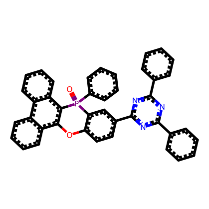 O=P1(c2ccccc2)c2cc(-c3nc(-c4ccccc4)nc(-c4ccccc4)n3)ccc2Oc2c1c1ccccc1c1ccccc21